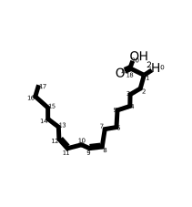 [2H]C(CCCCCC/C=C\C/C=C\CCCCC)C(=O)O